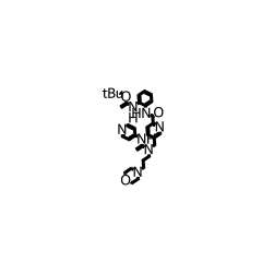 C=C(Nc1ccccc1NC(=O)c1ccc(CN(CCCN2CCOCC2)C(=C)Nc2ccncc2)cn1)OC(C)(C)C